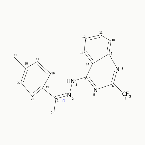 C/C(=N/Nc1nc(C(F)(F)F)nc2ccccc12)c1ccc(C)cc1